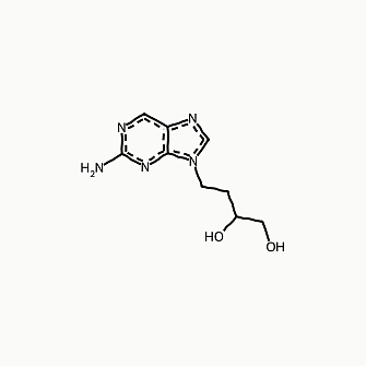 Nc1ncc2ncn(CCC(O)CO)c2n1